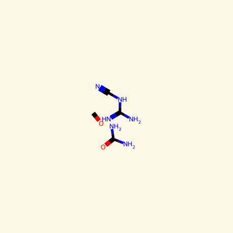 C=O.N#CNC(=N)N.NC(N)=O